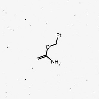 C=C(N)OCCC